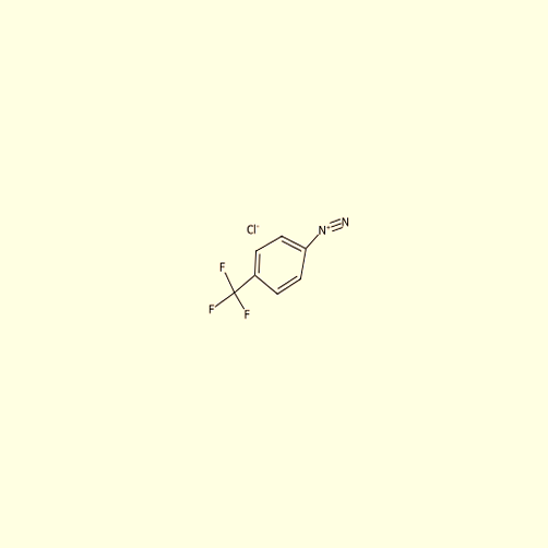 N#[N+]c1ccc(C(F)(F)F)cc1.[Cl-]